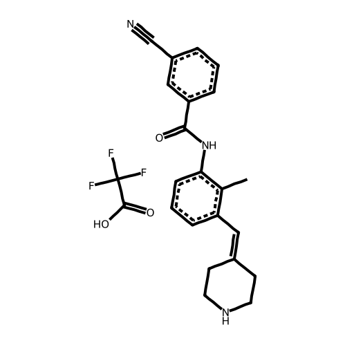 Cc1c(C=C2CCNCC2)cccc1NC(=O)c1cccc(C#N)c1.O=C(O)C(F)(F)F